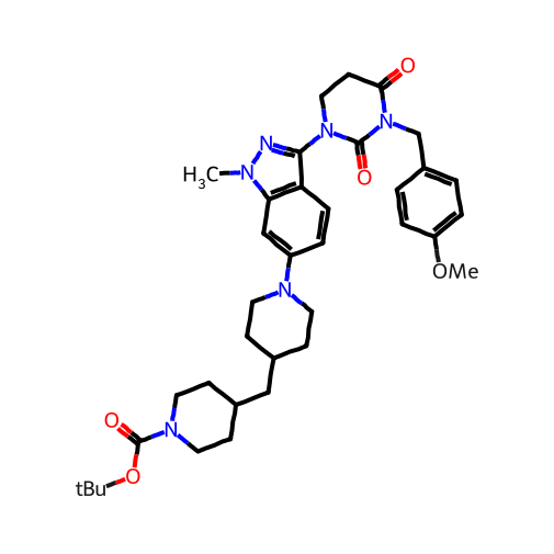 COc1ccc(CN2C(=O)CCN(c3nn(C)c4cc(N5CCC(CC6CCN(C(=O)OC(C)(C)C)CC6)CC5)ccc34)C2=O)cc1